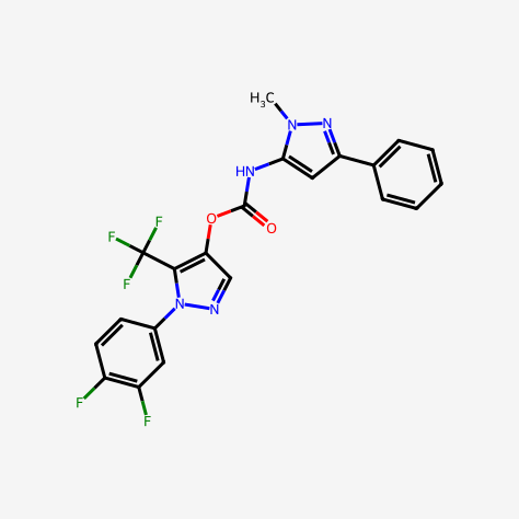 Cn1nc(-c2ccccc2)cc1NC(=O)Oc1cnn(-c2ccc(F)c(F)c2)c1C(F)(F)F